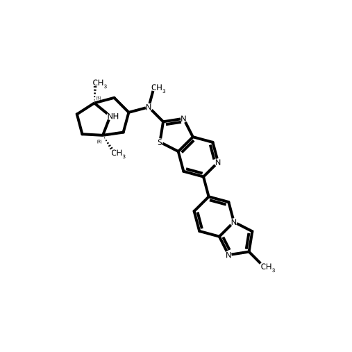 Cc1cn2cc(-c3cc4sc(N(C)C5C[C@]6(C)CC[C@](C)(C5)N6)nc4cn3)ccc2n1